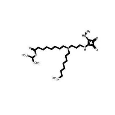 CCCCCCCCC(CCCCCCCC)OC(=O)CCCCCCCN(CCCCCCCC(=O)O)CCCNc1c(NCCC)c(=O)c1=O